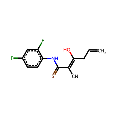 C=CCC(O)=C(C#N)C(=S)Nc1ccc(F)cc1F